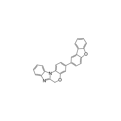 c1ccc2c(c1)nc1n2-c2ccc(-c3ccc4oc5ccccc5c4c3)cc2OC1